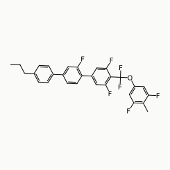 CCCc1ccc(-c2ccc(-c3cc(F)c(C(F)(F)Oc4cc(F)c(C)c(F)c4)c(F)c3)c(F)c2)cc1